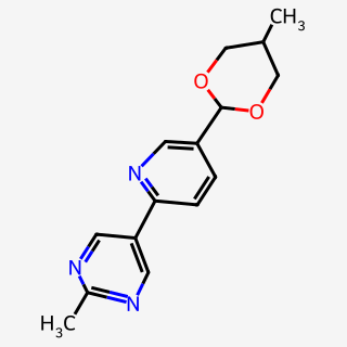 Cc1ncc(-c2ccc(C3OCC(C)CO3)cn2)cn1